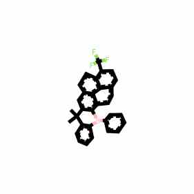 CC1(C)c2ccccc2B(c2ccccc2)c2c1cc1ccc3c(C(F)(F)F)ccc4ccc2c1c43